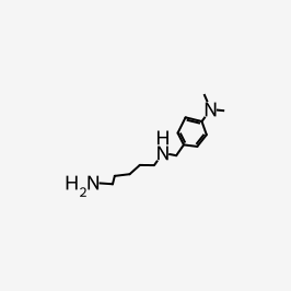 CN(C)c1ccc(CNCCCCCN)cc1